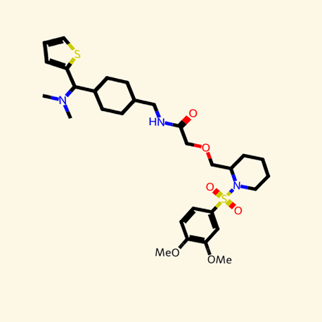 COc1ccc(S(=O)(=O)N2CCCCC2COCC(=O)NCC2CCC(C(c3cccs3)N(C)C)CC2)cc1OC